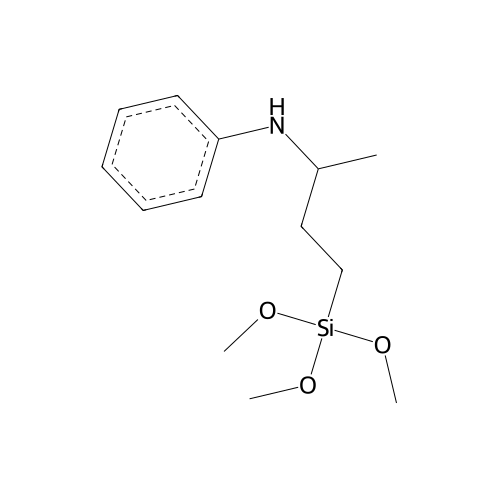 CO[Si](CCC(C)Nc1ccccc1)(OC)OC